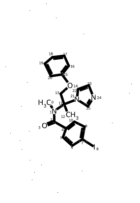 CN(C(=O)c1ccc(I)cc1)C(C)(COc1ccccc1)n1ccnc1